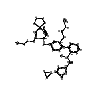 CCCC/C(=N/C1(C)CCCC1)N(C=O)Cc1ccc(-c2ccccc2[S+]([O-])Nc2cc(C3CC3)no2)c(COCC)c1